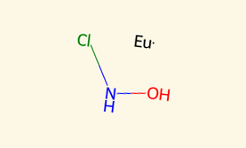 ONCl.[Eu]